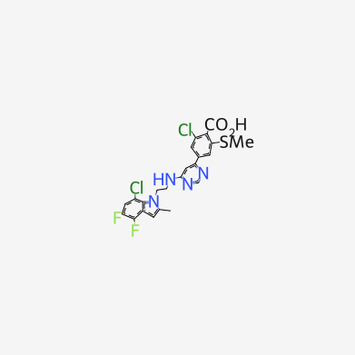 CSc1cc(-c2cc(NCCn3c(C)cc4c(F)c(F)cc(Cl)c43)ncn2)cc(Cl)c1C(=O)O